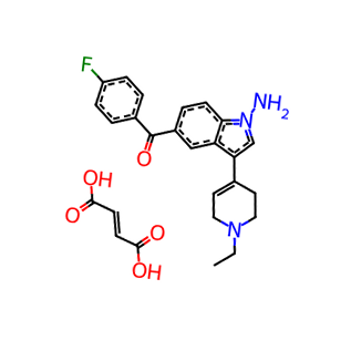 CCN1CC=C(c2cn(N)c3ccc(C(=O)c4ccc(F)cc4)cc23)CC1.O=C(O)/C=C/C(=O)O